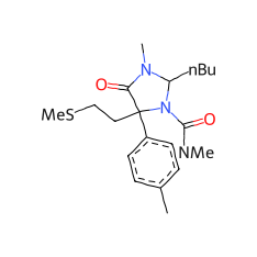 CCCCC1N(C)C(=O)C(CCSC)(c2ccc(C)cc2)N1C(=O)NC